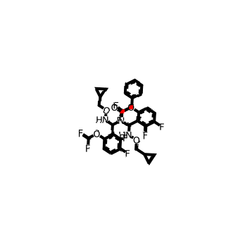 O=C(Cc1ccccc1)N(C(NOCC1CC1)c1c(OC(F)F)ccc(F)c1F)C(NOCC1CC1)c1c(OC(F)F)ccc(F)c1F